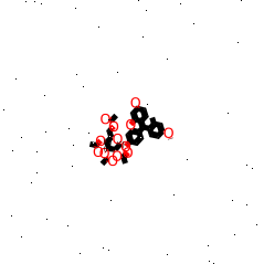 COc1ccc(-c2c3ccc(=O)cc-3oc3cc(O[C@@H]4OC(COC(C)=O)[C@H](OC(C)=O)[C@@H](OC(C)=O)C4OC(C)=O)ccc23)c(C)c1